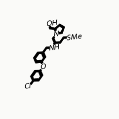 CSCCC(CN1CCCC1CO)NCc1cccc(Oc2ccc(Cl)cc2)c1